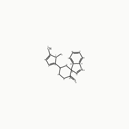 Cn1c(C#N)ccc1C1CCC(=S)C2(C=Nc3ccccc32)C1